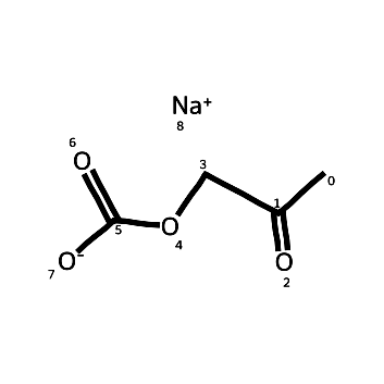 CC(=O)COC(=O)[O-].[Na+]